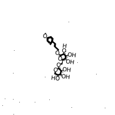 COc1ccc(C=CCO[C@@H]2O[C@H](CO[C@@H]3OC[C@H](O)[C@H](O)[C@H]3O)[C@@H](O)[C@H](O)[C@H]2O)cc1